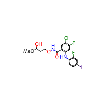 COC(O)CCONC(=O)c1cc(Cl)c(F)cc1Nc1ccc(I)cc1F